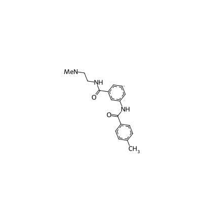 CNCCNC(=O)c1c[c]cc(NC(=O)c2ccc(C)cc2)c1